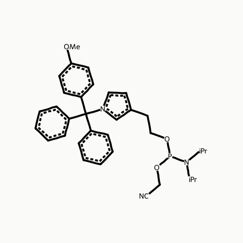 COc1ccc(C(c2ccccc2)(c2ccccc2)n2ccc(CCOP(OCC#N)N(C(C)C)C(C)C)c2)cc1